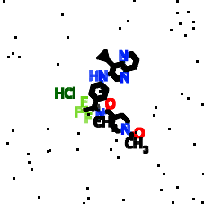 CC(=O)N1CCC(C(=O)N(C)[C@@H](c2ccc(Nc3cnc4cccnc4c3C3CC3)cc2)C(F)(F)F)CC1.Cl